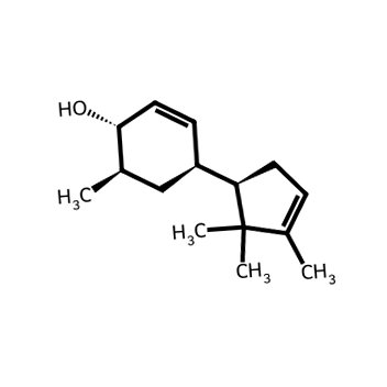 CC1=CC[C@H]([C@@H]2C=C[C@@H](O)[C@H](C)C2)C1(C)C